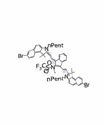 CCCCCN1/C(=C/C=C2C(N(C)S(=O)(=O)C(F)(F)F)=C(/C=C/C3=[N+](CCCCC)c4ccc5cc(Br)ccc5c4C3(C)C)c3ccccc3/2)C(C)(C)c2c1ccc1cc(Br)ccc21